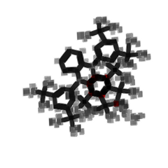 CC(C)(C)c1cc(P(c2cc(C(C)(C)C)cc(C(C)(C)C)c2)c2ccccc2P(c2cc(C(C)(C)C)cc(C(C)(C)C)c2)c2cc(C(C)(C)C)cc(C(C)(C)C)c2)cc(C(C)(C)C)c1.[Cl-].[Cl-].[Fe+2]